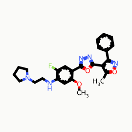 COc1cc(NCCN2CCCC2)c(F)cc1-c1nnc(-c2c(-c3ccccc3)noc2C)o1